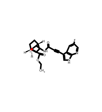 CCOC(=O)[C@@H]1C(NC(=O)C#Cc2c[nH]c3ncc(F)cc23)[C@H]2CC[C@@H]1CC2